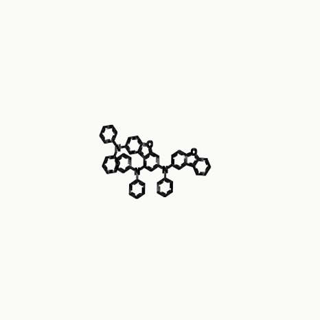 c1ccc(N(c2cc(N(c3ccccc3)c3ccccc3)c3c(c2)oc2ccc(N(c4ccccc4)c4ccccc4)cc23)c2ccc3oc4ccccc4c3c2)cc1